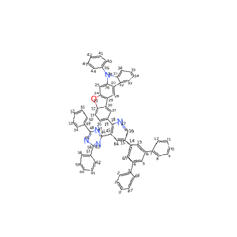 c1ccc(-c2cc(-c3ccccc3)cc(-c3cnc(-c4ccc5oc6cc7c(cc6c5c4)c4ccccc4n7-c4ccccc4)c(-c4nc(-c5ccccc5)nc(-c5ccccc5)n4)c3)c2)cc1